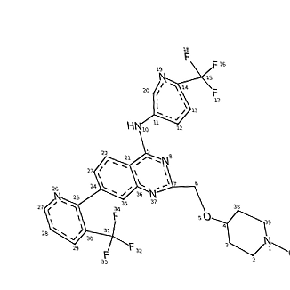 CN1CCC(OCc2nc(Nc3ccc(C(F)(F)F)nc3)c3ccc(-c4ncccc4C(F)(F)F)cc3n2)CC1